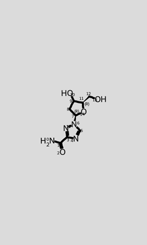 NC(=O)c1ncn([C@H]2CC(O)[C@@H](CO)O2)n1